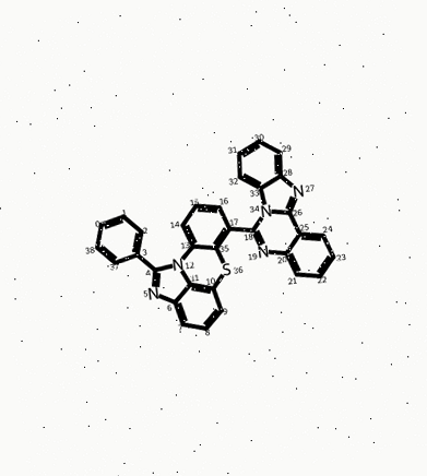 c1ccc(-c2nc3cccc4c3n2-c2cccc(-c3nc5ccccc5c5nc6ccccc6n35)c2S4)cc1